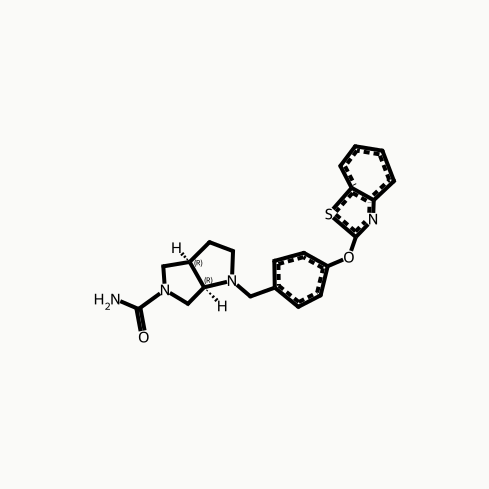 NC(=O)N1C[C@H]2CCN(Cc3ccc(Oc4nc5ccccc5s4)cc3)[C@H]2C1